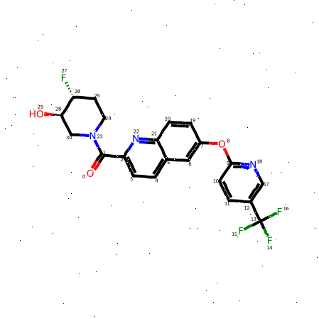 O=C(c1ccc2cc(Oc3ccc(C(F)(F)F)cn3)ccc2n1)N1CC[C@@H](F)[C@H](O)C1